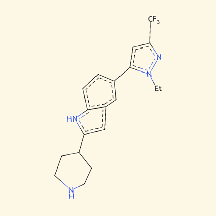 CCn1nc(C(F)(F)F)cc1-c1ccc2[nH]c(C3CCNCC3)cc2c1